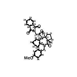 COc1ccc(CN2C(=O)[C@H]3CCC[C@H]3N(C(=O)CN3C(=O)c4ccccc4C3=O)c3ccccc32)cc1